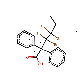 CCC(Br)(Br)C(Br)(Br)C(C(=O)O)(c1ccccc1)c1ccccc1